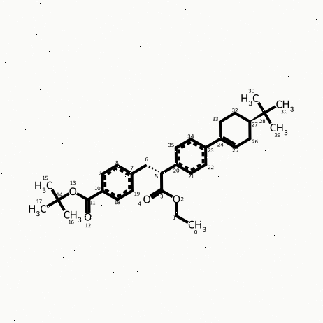 CCOC(=O)[C@H](Cc1ccc(C(=O)OC(C)(C)C)cc1)c1ccc(C2=CC[C@H](C(C)(C)C)CC2)cc1